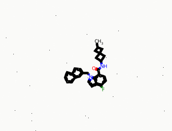 CC1CC2(C1)CC(NC(=O)c1ccc(F)c3ccn(Cc4ccc5ccccc5c4)c13)C2